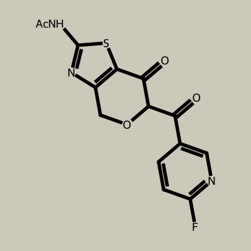 CC(=O)Nc1nc2c(s1)C(=O)C(C(=O)c1ccc(F)nc1)OC2